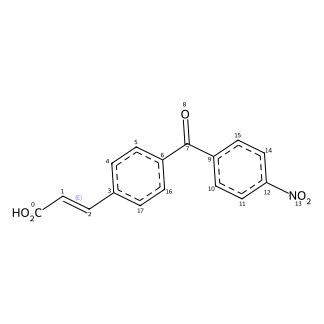 O=C(O)/C=C/c1ccc(C(=O)c2ccc([N+](=O)[O-])cc2)cc1